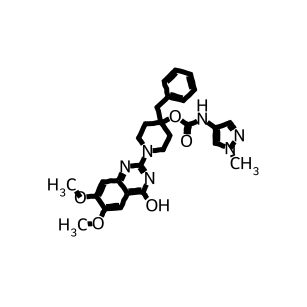 COc1cc2nc(N3CCC(Cc4ccccc4)(OC(=O)Nc4cnn(C)c4)CC3)nc(O)c2cc1OC